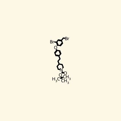 CC(C)(C)OC(=O)N1CCC(CCc2ccc(Oc3ccc(CBr)cc3Br)cc2)CC1